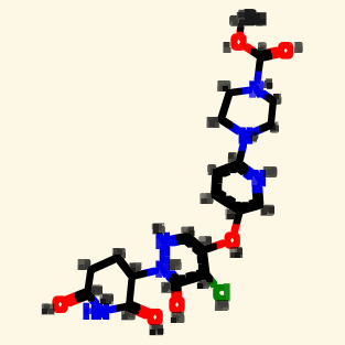 CC(C)(C)OC(=O)N1CCN(c2ccc(Oc3cnn(C4CCC(=O)NC4=O)c(=O)c3Cl)cn2)CC1